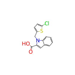 O=C(O)c1cc2ccccc2n1Cc1ccc(Cl)s1